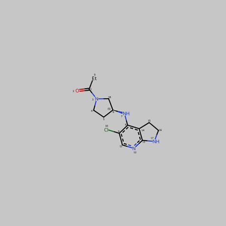 CCC(=O)N1CC[C@H](Nc2c(Cl)cnc3c2CCN3)C1